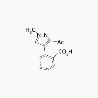 CC(=O)c1nn(C)cc1-c1ccccc1C(=O)O